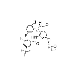 O=C(Nc1cc(OC[C@H]2CCO2)cc2c1[C@H](c1cc(F)ccc1Cl)NC2=O)c1cc(F)cc(C(F)(F)F)c1